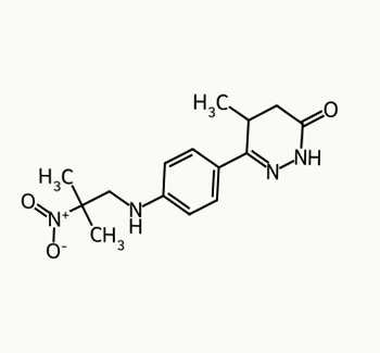 CC1CC(=O)NN=C1c1ccc(NCC(C)(C)[N+](=O)[O-])cc1